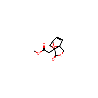 COC(=O)CC12CC3C=CC1(COC2=O)O3